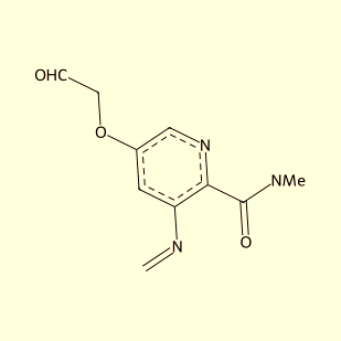 C=Nc1cc(OCC=O)cnc1C(=O)NC